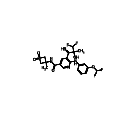 CC1(NC(=O)c2cnc(Nc3cccc(OC(F)F)c3)c(C(=N)C(C)(O)C(F)F)c2)CS(=O)(=O)C1